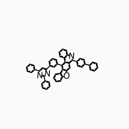 c1ccc(-c2ccc(-c3nc4ccccc4c4c(-c5cccc(-c6cc(-c7ccccc7)nc(-c7ccccc7)n6)c5)c5c(cc34)oc3ccccc35)cc2)cc1